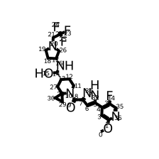 COc1cc(-c2cc(C(=O)N3CC[C@@H](C(O)N[C@@H]4CCN(CC(F)(F)F)C4)CC34CC4)n[nH]2)c(F)cn1